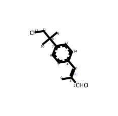 C/C(C=O)=C\c1ccc(C(C)(C)CCl)cc1